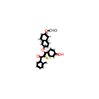 Cc1ccccc1C(=O)c1sc2cc(O)ccc2c1Oc1ccc2cc(OC=O)ccc2c1